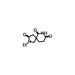 CCN1CC2(CCC(=O)NC2=O)CC1=O